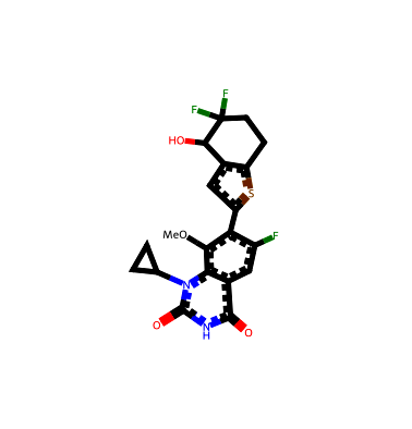 COc1c(-c2cc3c(s2)CCC(F)(F)C3O)c(F)cc2c(=O)[nH]c(=O)n(C3CC3)c12